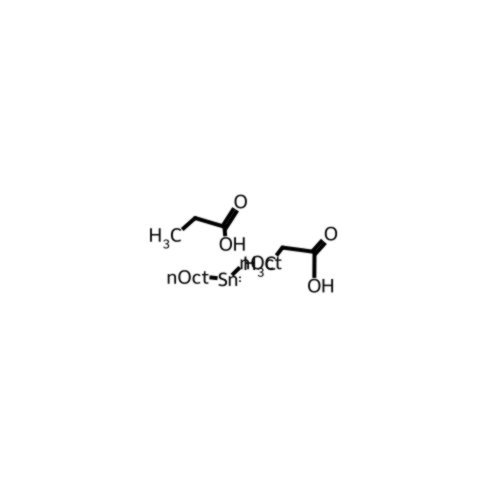 CCC(=O)O.CCC(=O)O.CCCCCCC[CH2][Sn][CH2]CCCCCCC